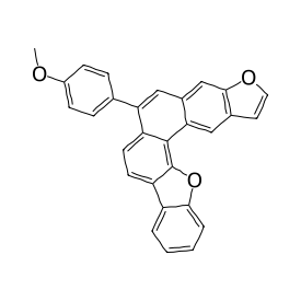 COc1ccc(-c2cc3cc4occc4cc3c3c2ccc2c4ccccc4oc23)cc1